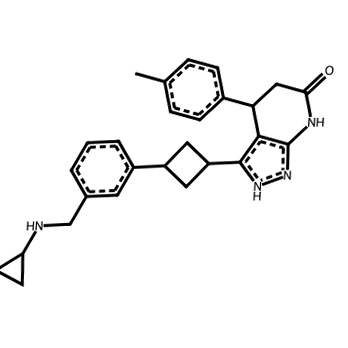 Cc1ccc(C2CC(=O)Nc3n[nH]c(C4CC(c5cccc(CNC6CC6)c5)C4)c32)cc1